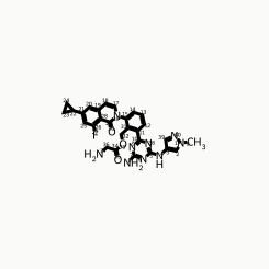 Cn1cc(Nc2nc(N)nc(-c3cccc(-n4ccc5cc(C6CC6)cc(F)c5c4=O)c3COC(=O)CN)n2)cn1